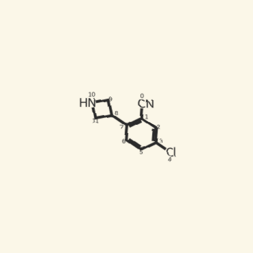 N#Cc1cc(Cl)ccc1C1CNC1